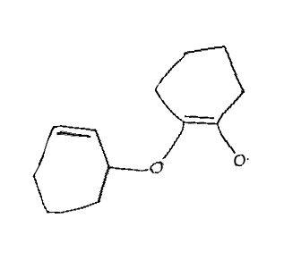 [O]C1=C(OC2C=CCCC2)CCCC1